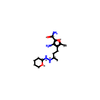 CCc1oc(C(N)=O)c(N)c1CCC(C)NNC1CCCCO1